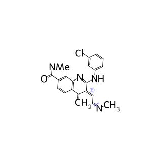 C=c1/c(=C\C=N/C)c(Nc2cccc(Cl)c2)nc2cc(C(=O)NC)ccc12